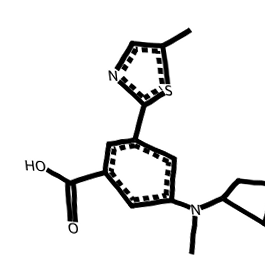 Cc1cnc(-c2cc(C(=O)O)cc(N(C)C3COC3)c2)s1